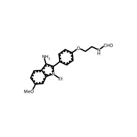 CCn1c(-c2ccc(OCCNC=O)cc2)c(N)c2ccc(OC)cc21